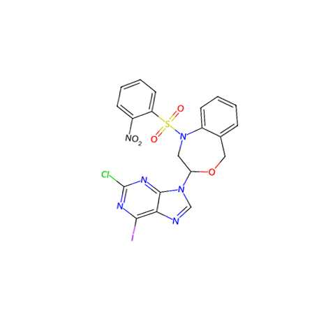 O=[N+]([O-])c1ccccc1S(=O)(=O)N1CC(n2cnc3c(I)nc(Cl)nc32)OCc2ccccc21